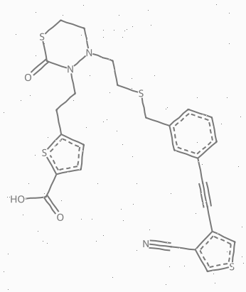 N#Cc1cscc1C#Cc1cccc(CSCCN2CCSC(=O)N2CCc2ccc(C(=O)O)s2)c1